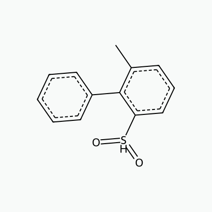 Cc1cccc([SH](=O)=O)c1-c1ccccc1